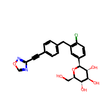 OC[C@H]1O[C@@H](c2ccc(Cl)c(Cc3ccc(C#Cc4ncon4)cc3)c2)[C@H](O)[C@@H](O)[C@@H]1O